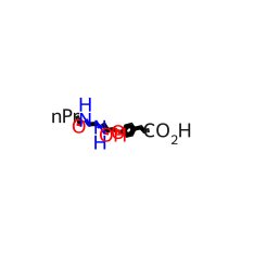 CCCC(=O)NCCNCC(O)COc1ccc(CCC(=O)O)cc1